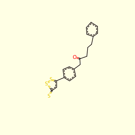 O=C(CCCc1ccccc1)Cc1ccc(-c2cc(=S)ss2)cc1